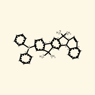 CC1(C)c2cc(N(c3ccccc3)c3ccccc3)ccc2-c2cc3c(cc21)C1c2ccccc2C=CC1C3(C)C